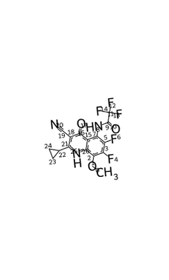 COc1c(F)c(F)c(NC(=O)C(F)(F)F)c2c(=O)c(C#N)c(C3CC3)[nH]c12